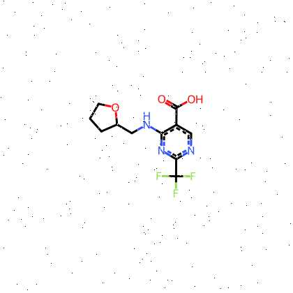 O=C(O)c1cnc(C(F)(F)F)nc1NCC1CCCO1